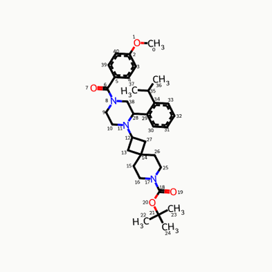 COc1ccc(C(=O)N2CCN(C3CC4(CCN(C(=O)OC(C)(C)C)CC4)C3)C(c3ccccc3C(C)C)C2)cc1